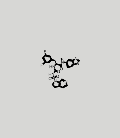 CN(C(=O)[C@H](Cc1cc(F)cc(F)c1)NC(=O)NS(=O)(=O)N1CCc2ccncc21)c1ccc2scnc2c1